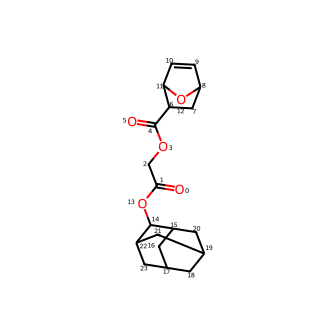 O=C(COC(=O)C1CC2C=CC1O2)OC1C2CC3CC(C2)CC1C3